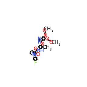 COCCOc1cc2ncnc(Oc3ccc(NC(=O)c4c5n(n(-c6ccc(F)cc6)c4=O)CCCC5)cc3C)c2cc1OCCOC